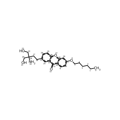 CCCCCCOc1ccc2c(=O)c3cc(CCC(N)(CO)CO)ccc3oc2c1